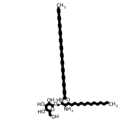 CC#CC#CC#CC#CC#CC#CC#CC#CC#CC#CC#CC#CC(=O)N[C@@H](CO[C@H]1OC(CO)[C@H](O)[C@H](O)C1O)[C@H](N)CCCCCCCCCCCCCC